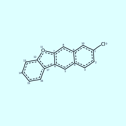 Clc1ccc2cc3c(cc2c1)oc1ccccc13